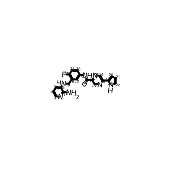 Nc1ncccc1NCc1cc(NC(=O)c2cnc(-c3ccc[nH]3)cn2)ccc1F